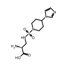 N[C@@H](CNS(=O)(=O)N1CCC(n2ccnc2)CC1)C(=O)O